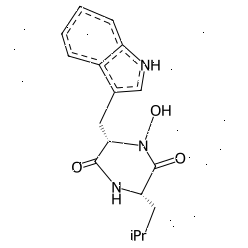 CC(C)C[C@@H]1NC(=O)[C@H](Cc2c[nH]c3ccccc23)N(O)C1=O